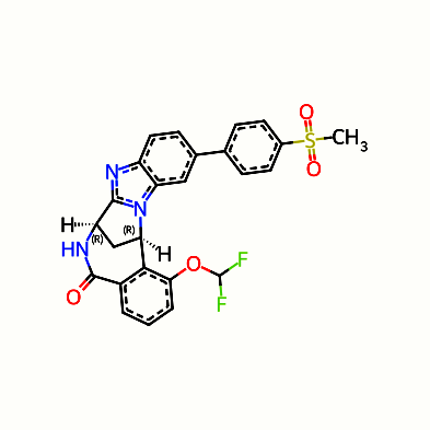 CS(=O)(=O)c1ccc(-c2ccc3nc4n(c3c2)[C@@H]2C[C@H]4NC(=O)c3cccc(OC(F)F)c32)cc1